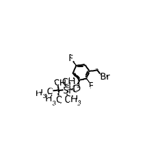 CC(C)(C)[Si](C)(C)Oc1cc(F)cc(CBr)c1F